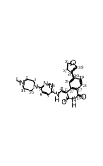 CN1CCN(c2ccc(N/C=C3\C(=O)NC(=O)c4ccc(-c5ccoc5)cc43)nn2)CC1